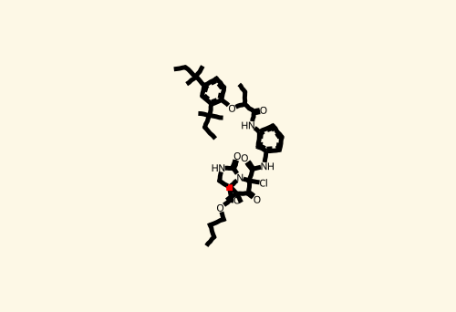 CCCCOC(=O)C1CNC(=O)N1C(Cl)(C(=O)Nc1cccc(NC(=O)C(CC)Oc2ccc(C(C)(C)CC)cc2C(C)(C)CC)c1)C(=O)C(C)(C)C